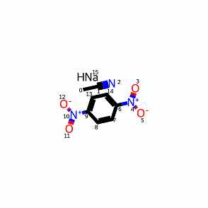 CC#N.O=[N+]([O-])c1ccc([N+](=O)[O-])cc1.[NaH]